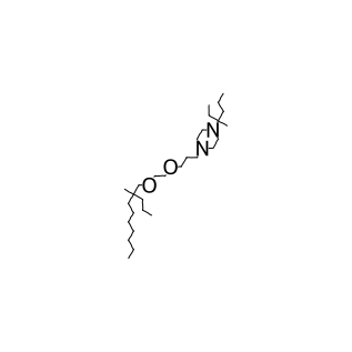 CCCCCCCC(C)(CCC)COCCOCCCN1CCN(C(C)(CC)CCC)CC1